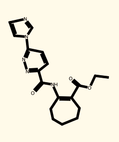 CCOC(=O)C1=C(NC(=O)c2ccc(-n3ccnc3)nn2)CCCCC1